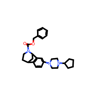 O=C(OCc1ccccc1)N1CCC2CC1c1cc(N3CCN(C4CCCC4)CC3)ccc12